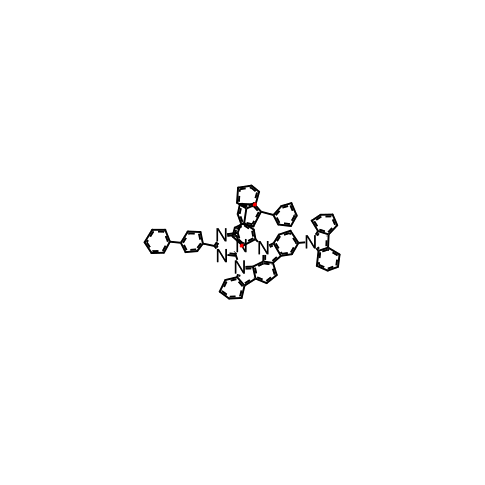 c1ccc(-c2ccc(-c3nc(-c4cccc(-c5ccccc5)c4)nc(-n4c5ccccc5c5ccc6c7cc(-n8c9ccccc9c9ccccc98)ccc7n(-c7cccc(-c8ccccc8)c7)c6c54)n3)cc2)cc1